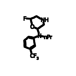 CCCN(c1cccc(C(F)(F)F)c1)C1CNCC(F)O1